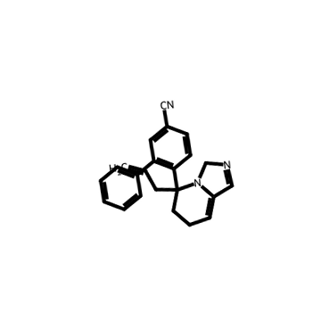 C=CCC1(c2ccc(C#N)cc2-c2ccccc2)CCC=C2C=NCN21